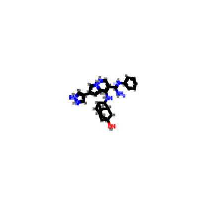 N/C(=N\c1ccccc1)c1cnn2cc(-c3cn[nH]c3)cc2c1NC1C2CC3CC1CC(O)(C3)C2